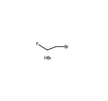 Br.FCCBr